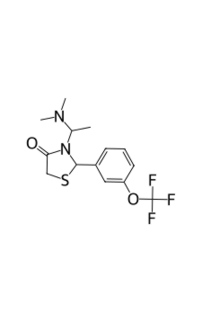 CC(N(C)C)N1C(=O)CSC1c1cccc(OC(F)(F)F)c1